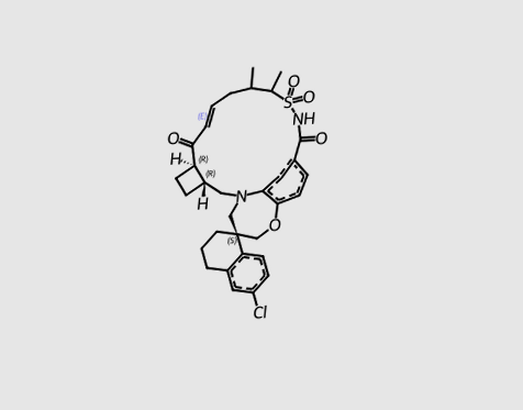 CC1C/C=C/C(=O)[C@@H]2CC[C@H]2CN2C[C@@]3(CCCc4cc(Cl)ccc43)COc3ccc(cc32)C(=O)NS(=O)(=O)C1C